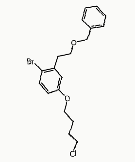 ClCCCCOc1ccc(Br)c(CCOCc2ccccc2)c1